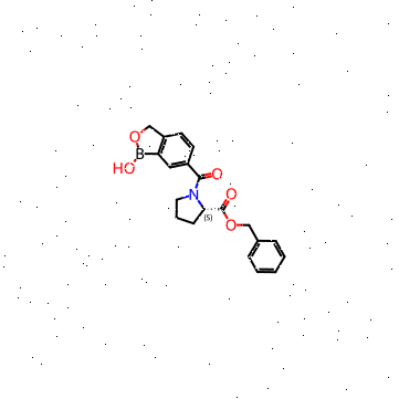 O=C(OCc1ccccc1)[C@@H]1CCCN1C(=O)c1ccc2c(c1)B(O)OC2